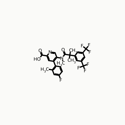 Cc1cc(F)ccc1-c1cc(C(=O)O)ncc1N(C)C(=O)C(C)(C)c1cc(C(F)(F)F)cc(C(F)(F)F)c1